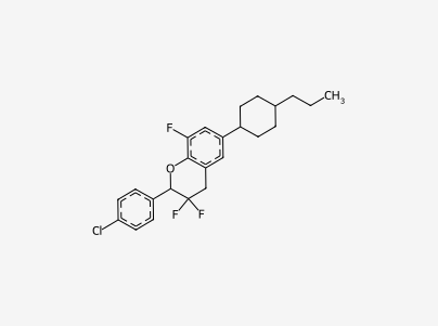 CCCC1CCC(c2cc(F)c3c(c2)CC(F)(F)C(c2ccc(Cl)cc2)O3)CC1